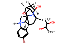 CCC[N+]1(C)c2ccc(Br)cc2[C@@]23C[C@H]4[C@H]([C@H]5C[C@@H]([C@@H]21)N4[C@H](O)[C@H]5CC)[C@H]3O.O=C([O-])C(O)C(O)C(=O)O